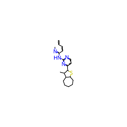 C=C/C=C\C(=N/C)Nc1nccc(C2SC3CCCCCC3C2C)n1